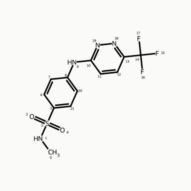 CNS(=O)(=O)c1ccc(Nc2ccc(C(F)(F)F)nn2)cc1